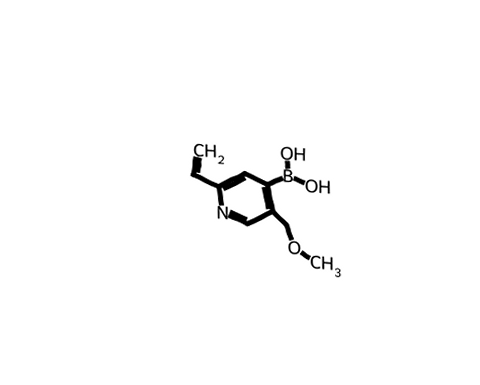 C=Cc1cc(B(O)O)c(COC)cn1